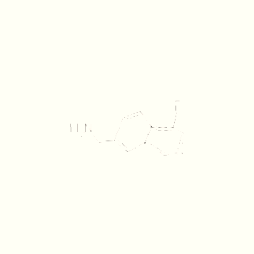 NCc1ccc2c(F)cncc2c1